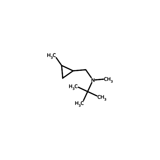 CC1CC1CN(C)C(C)(C)C